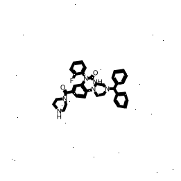 NC(=O)N(c1ccccc1F)c1cc(C(=O)N2CCNCC2)ccc1N1CCN(C(c2ccccc2)c2ccccc2)CC1